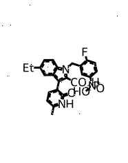 CCc1ccc2c(c1)c(-c1ccc(C)[nH]c1=O)c(C(=O)O)n2Cc1cc([N+](=O)O)ccc1F